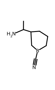 CC(N)C1CCCB(C#N)C1